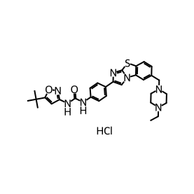 CCN1CCN(Cc2ccc3sc4nc(-c5ccc(NC(=O)Nc6cc(C(C)(C)C)on6)cc5)cn4c3c2)CC1.Cl